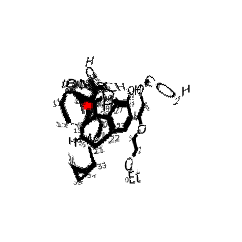 CCOCCOCCOC(=O)O.CO[C@@]12CC[C@@]3(C[C@@H]1[C@](C)(O)C(C)(C)C)[C@H]1Cc4ccc(O)c5c4[C@@]3(CCN1CC1CC1)[C@H]2O5